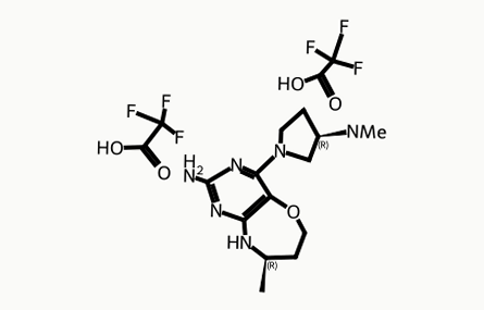 CN[C@@H]1CCN(c2nc(N)nc3c2OCC[C@@H](C)N3)C1.O=C(O)C(F)(F)F.O=C(O)C(F)(F)F